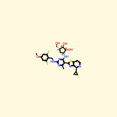 COc1cc(F)c(CNc2nc(C)c(-c3nc4c(C5CC5)nccc4s3)c(N[C@@H]3C[C@H](CO)[C@@H](O)[C@H]3O)n2)c(F)c1